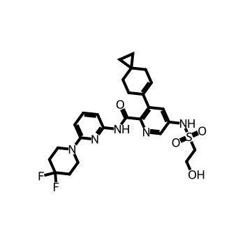 O=C(Nc1cccc(N2CCC(F)(F)CC2)n1)c1ncc(NS(=O)(=O)CCO)cc1C1=CCC2(CC1)CC2